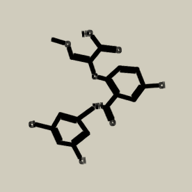 COC=C(Oc1ccc(Cl)cc1C(=O)Nc1cc(Cl)cc(Cl)c1)C(=O)O